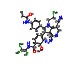 C=CC(=O)Nc1ccc(-c2c(-c3ccc(C(=O)NC(F)C(F)F)c(OC)c3)c3c(N)ncc(C#N)c3n2CCF)cc1